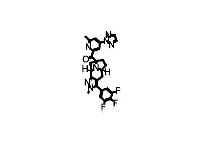 Cc1cc(-n2nccn2)cc(C(=O)C23CC[C@H]4Cc5c(nn(C)c5-c5cc(F)c(F)c(F)c5)[C@@H](C2)N43)n1